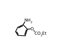 CCOC(=O)Oc1ccccc1N